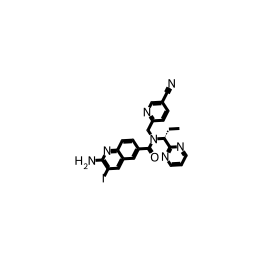 CC[C@H](c1ncccn1)N(Cc1ccc(C#N)cn1)C(=O)c1ccc2nc(N)c(I)cc2c1